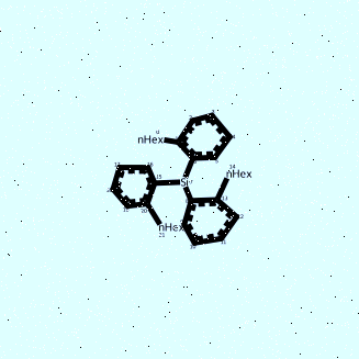 CCCCCCc1ccccc1[Si](c1ccccc1CCCCCC)c1ccccc1CCCCCC